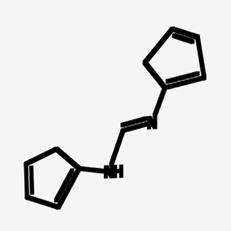 C1=CCC(/N=C/NC2=CC=CC2)=C1